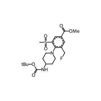 COC(=O)c1cc(CF)c(N2CCC(NC(=O)OC(C)(C)C)CC2)c(S(C)(=O)=O)c1